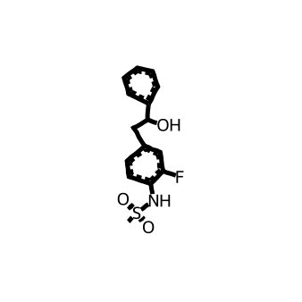 CS(=O)(=O)Nc1ccc(CC(O)c2ccccc2)cc1F